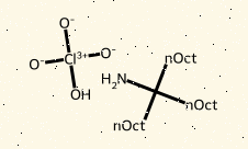 CCCCCCCCC(N)(CCCCCCCC)CCCCCCCC.[O-][Cl+3]([O-])([O-])O